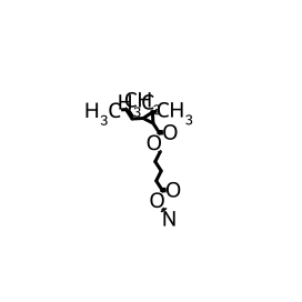 CC(C)=CC1C(C(=O)OCCCCC(=O)OC#N)C1(C)C